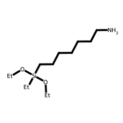 CCO[Si](CC)(CCCCCCCN)OCC